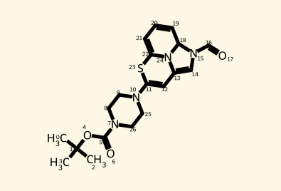 CC(C)(C)OC(=O)N1CCN(C2=CC3=CN(C=O)C4C=CC=C(S2)N34)CC1